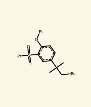 CCOc1ccc(C(C)(C)CC(C)(C)C)cc1S(=O)(=O)C(C)C